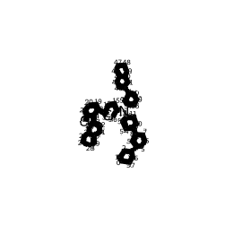 c1ccc(-c2cccc(-c3ccc(N(c4ccc(-c5cccc6oc7c8ccccc8ccc7c56)cc4)c4cccc(-c5ccc6ccccc6c5)c4)cc3)c2)cc1